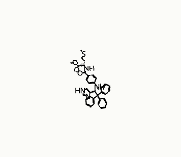 COC(=O)[C@H](CCSC)NC(=O)c1ccc(NC(c2c[nH]cn2)C(c2ccccc2)(c2ccccc2)c2ccccc2)cc1